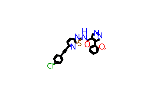 COc1ccccc1-c1cnncc1C(=O)Nc1nc2ccc(C#Cc3ccc(Cl)cc3)nc2s1